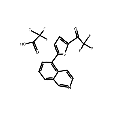 O=C(O)C(F)(F)F.O=C(c1ccc(-c2cccc3cnccc23)s1)C(F)(F)F